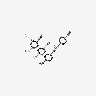 N#[N+]c1ccc([N+](=O)[O-])cc1.N#[N+]c1ccc([N+](=O)[O-])cc1.N#[N+]c1ccc([N+](=O)[O-])cc1.N#[N+]c1ccc([N+](=O)[O-])cc1.[F-].[F-].[F-].[F-]